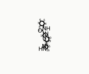 O=C(Nc1ccccc1)c1cn2cc(-c3cc[nH]n3)ccc2n1